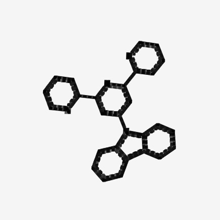 c1ccc(-c2cc(-n3c4ccccc4c4ccccc43)cc(-c3ccccn3)n2)nc1